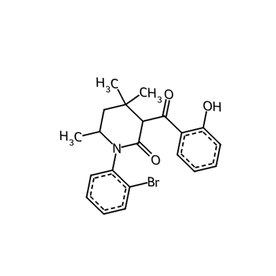 CC1CC(C)(C)C(C(=O)c2ccccc2O)C(=O)N1c1ccccc1Br